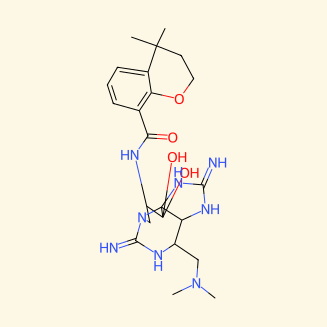 CN(C)CC1NC(=N)N2CC(NC(=O)c3cccc4c3OCCC4(C)C)C(O)(O)C23NC(=N)NC13